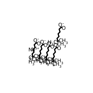 CC(C)(C)CCCCCC(=O)[O-].CC(C)(C)CCCCCC(=O)[O-].CC(C)(C)CCCCCC(=O)[O-].CC(C)(C)CCCCCC(=O)[O-].CC(C)(C)CCCCCC(=O)[O-].[Nb+5]